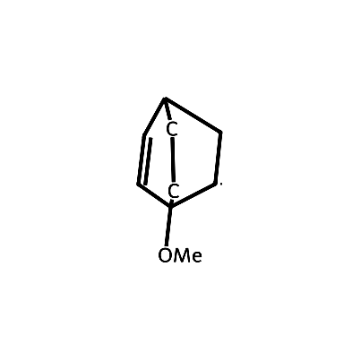 COC12[CH]CC(C=C1)CC2